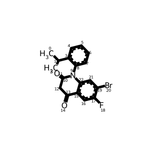 CC(C)c1ccccc1N1C(=O)CC(=O)c2cc(F)c(Br)cc21